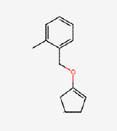 Cc1ccccc1COC1=CC[CH]C1